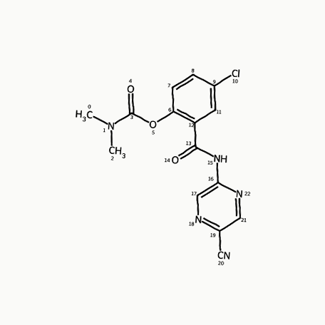 CN(C)C(=O)Oc1ccc(Cl)cc1C(=O)Nc1cnc(C#N)cn1